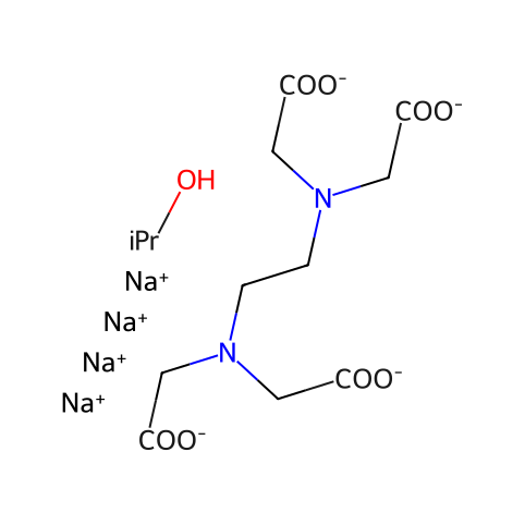 CC(C)O.O=C([O-])CN(CCN(CC(=O)[O-])CC(=O)[O-])CC(=O)[O-].[Na+].[Na+].[Na+].[Na+]